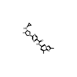 Cc1cn2cc(NC(=O)c3cnc(N4C[C@@H](C)[C@H](NC5CC5)C4)cn3)cc(C)c2n1